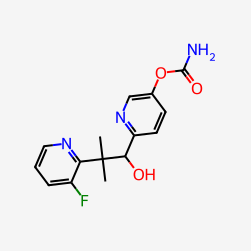 CC(C)(c1ncccc1F)C(O)c1ccc(OC(N)=O)cn1